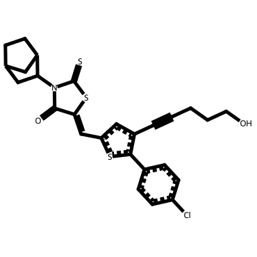 O=C1/C(=C/c2cc(C#CCCCO)c(-c3ccc(Cl)cc3)s2)SC(=S)N1C1CC2CCC1C2